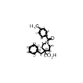 Cc1ccc(C(=O)N2CCC(Cc3ccccc3)(C(=O)O)CC2)cc1